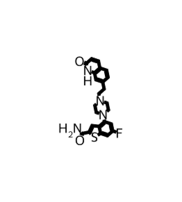 NC(=O)c1cc2c(N3CCN(CCc4ccc5ccc(=O)[nH]c5c4)CC3)cc(F)cc2s1